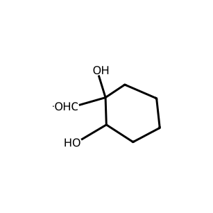 O=[C]C1(O)CCCCC1O